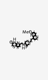 COc1ccc2nccc(CCN3CC[C@@H](NCc4ccc5c(n4)NC(=O)CS5)[C@H](F)C3)c2n1